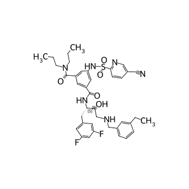 CCCN(CCC)C(=O)c1cc(NS(=O)(=O)c2ccc(C#N)cn2)cc(C(=O)N[C@@H](Cc2cc(F)cc(F)c2)[C@H](O)CNCc2cccc(CC)c2)c1